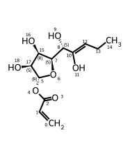 C=CC(=O)O[C@H]1O[C@H]([C@H](O)C(O)=CCC)[C@H](O)[C@@H]1O